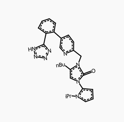 CCCCc1cn(-c2cccn2C(C)C)c(=O)n1Cc1ccc(-c2ccccc2-c2nnn[nH]2)cn1